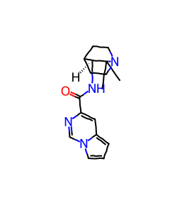 CC1(C)[C@@H](NC(=O)c2cc3cccn3cn2)C2CCN1CC2